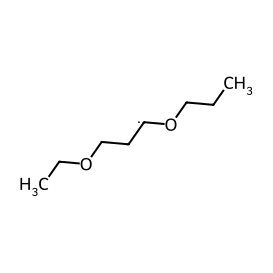 CCCO[CH]CCOCC